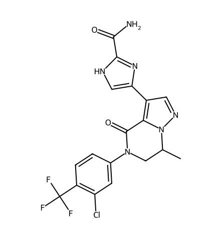 CC1CN(c2ccc(C(F)(F)F)c(Cl)c2)C(=O)c2c(-c3c[nH]c(C(N)=O)n3)cnn21